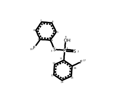 OP(=S)(Sc1ccccc1F)c1ccccc1F